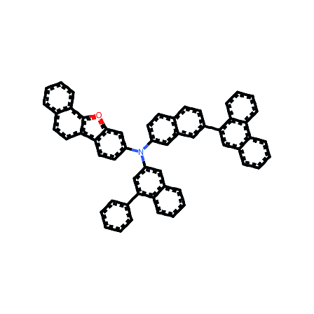 c1ccc(-c2cc(N(c3ccc4ccc(-c5cc6ccccc6c6ccccc56)cc4c3)c3ccc4c(c3)oc3c5ccccc5ccc43)cc3ccccc23)cc1